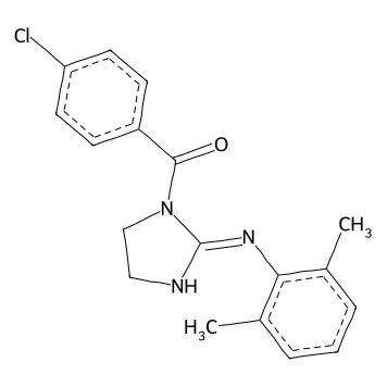 Cc1cccc(C)c1N=C1NCCN1C(=O)c1ccc(Cl)cc1